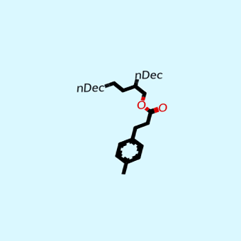 CCCCCCCCCCCCC(CCCCCCCCCC)COC(=O)CCc1ccc(C)cc1